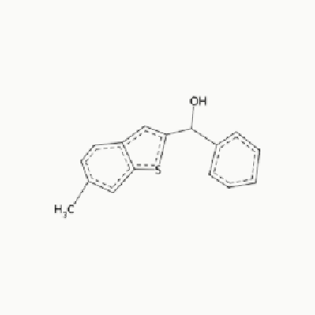 Cc1ccc2cc(C(O)c3ccccc3)sc2c1